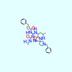 CC(C)CC(N/C(=N/C(N)=O)NC(=O)OCc1ccccc1)C(=O)NC1(C#N)CCN(Cc2ccccc2)C1